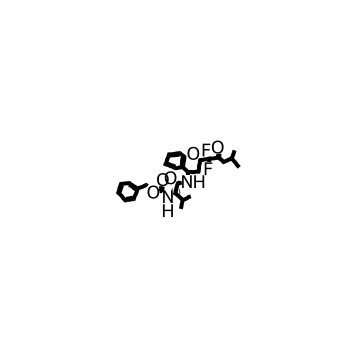 CC(C)CC(=O)C(F)(F)C(=O)CC(NC(=O)[C@@H](NC(=O)OCc1ccccc1)C(C)C)c1ccccc1